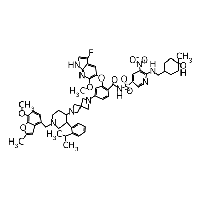 COc1nc2[nH]cc(F)c2cc1Oc1cc(N2CC3(C2)CN(C2CCN(Cc4ccc(OC)c5oc(C)cc45)CC2c2ccccc2C(C)C)C3)ccc1C(=O)NS(=O)(=O)c1cnc(NCC2CCC(C)(O)CC2)c([N+](=O)[O-])c1